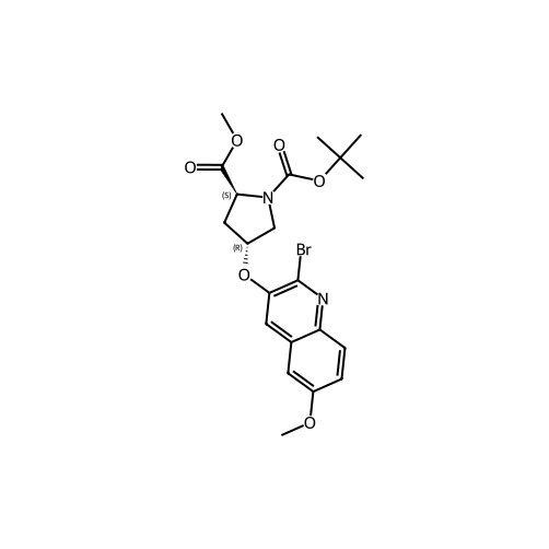 COC(=O)[C@@H]1C[C@@H](Oc2cc3cc(OC)ccc3nc2Br)CN1C(=O)OC(C)(C)C